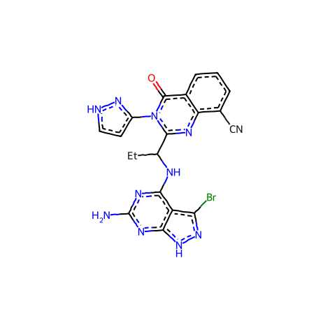 CCC(Nc1nc(N)nc2[nH]nc(Br)c12)c1nc2c(C#N)cccc2c(=O)n1-c1cc[nH]n1